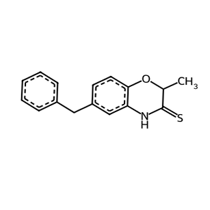 CC1Oc2ccc(Cc3ccccc3)cc2NC1=S